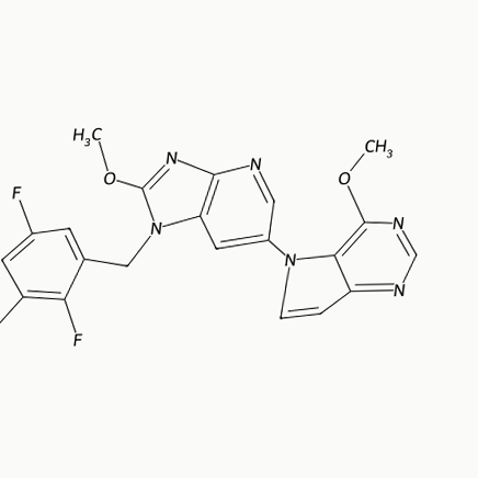 COc1ncnc2ccn(-c3cnc4nc(OC)n(Cc5cc(F)cc(F)c5F)c4c3)c12